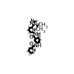 CC(C)n1cnnc1-c1cccc(NC(=O)c2cc(NC(=O)c3ccccn3)ccc2F)n1